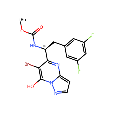 CC(C)(C)OC(=O)N[C@@H](Cc1cc(F)cc(F)c1)c1nc2ccnn2c(O)c1Br